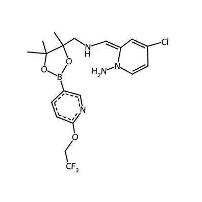 CC1(C)OB(c2ccc(OCC(F)(F)F)nc2)OC1(C)CN/C=C1/C=C(Cl)C=CN1N